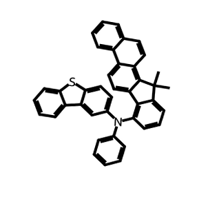 CC1(C)c2cccc(N(c3ccccc3)c3ccc4sc5ccccc5c4c3)c2-c2ccc3c(ccc4ccccc43)c21